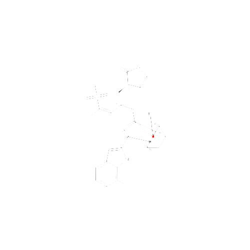 CS(=O)(=O)/C(F)=C\[C@H](C[C@@H]1CCNC1=O)NC(=O)[C@H]1[C@H]2CC[C@H](CC2(F)F)N1C(=O)c1cc2cccc(Cl)c2[nH]1